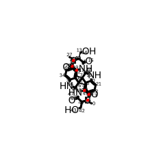 CN1C(=O)[C@@]23C[C@]4([C@]56CC78SS[C@@](CO)(C(=O)N7[C@H]5Nc5ccccc56)N(C)C8=O)c5ccccc5N[C@@H]4N2C(=O)C1(CO)SS3